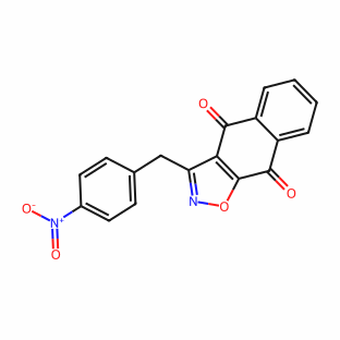 O=C1c2ccccc2C(=O)c2c(Cc3ccc([N+](=O)[O-])cc3)noc21